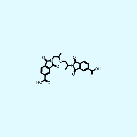 CC(CN1C(=O)c2ccc(C(=O)O)cc2C1=O)OCC(C)N1C(=O)c2ccc(C(=O)O)cc2C1=O